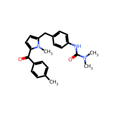 Cc1ccc(C(=O)c2ccc(Cc3ccc(NC(=O)N(C)C)cc3)n2C)cc1